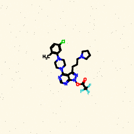 Cc1ccc(Cl)cc1N1CCN(c2ncnc3c2c(CCCN2CCCC2)nn3OC(=O)C(F)(F)F)CC1